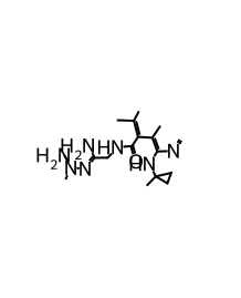 C=N/C(NC1(C)CC1)=C(\C)C(C(=O)NC/C(N)=N/N(C)N)=C(C)C